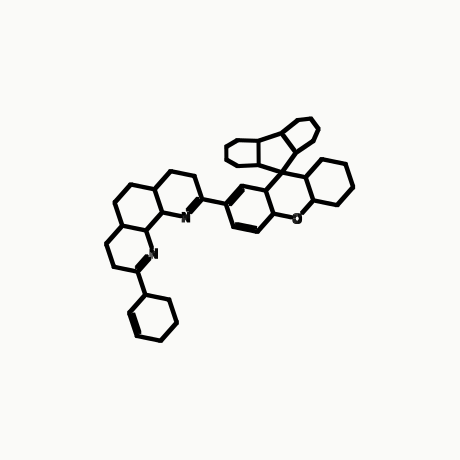 C1=CC(C2=NC3C(CC2)CCC2CCC(C4=CC5C(C=C4)OC4CCCCC4C54C5CCCCC5C5CCCCC54)=NC23)CCC1